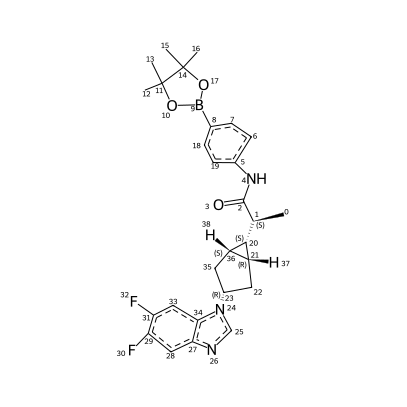 C[C@H](C(=O)Nc1ccc(B2OC(C)(C)C(C)(C)O2)cc1)[C@@H]1[C@@H]2C[C@H](n3cnc4cc(F)c(F)cc43)C[C@@H]21